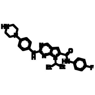 CCC(CC)n1c(C(=O)Nc2ccc(F)cc2)cc2cnc(Nc3ccc(N4CCNCC4)cc3)nc21